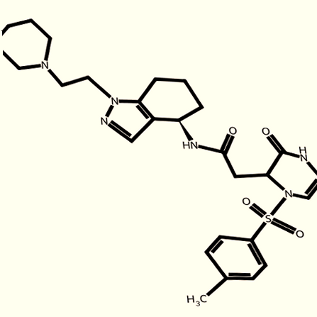 Cc1ccc(S(=O)(=O)N2C=CNC(=O)C2CC(=O)N[C@@H]2CCCc3c2cnn3CCN2CCCCC2)cc1